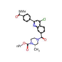 CCCOC(=O)N1CCN(C(=O)c2ccc3c(Cl)cc(-c4ccc(C(=O)NC)cc4)nc3c2)C[C@@H]1C